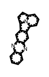 c1ccc2nc3cc4c(cc3nc2c1)c1cccc2ccc4n21